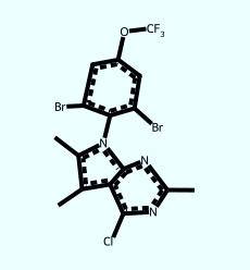 Cc1nc(Cl)c2c(C)c(C)n(-c3c(Br)cc(OC(F)(F)F)cc3Br)c2n1